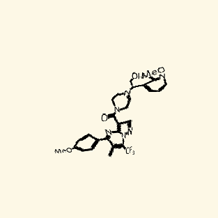 COc1ccc(-c2nc3c(C(=O)N4CCN([C@@H](CO)c5cccnc5OC)CC4)cnn3c(C(F)(F)F)c2C)cc1